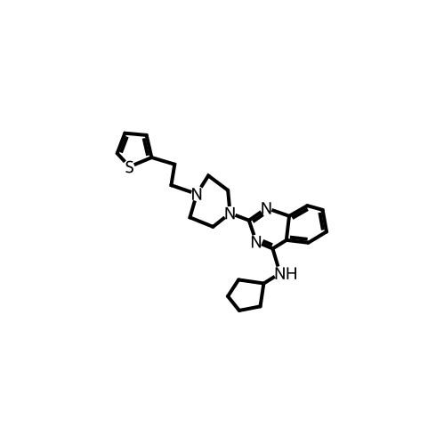 c1csc(CCN2CCN(c3nc(NC4CCCC4)c4ccccc4n3)CC2)c1